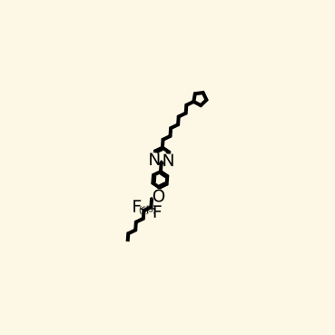 CCCCC[C@H](F)[C@@H](F)COc1ccc(-c2ncc(CCCCCCCC3CCCC3)cn2)cc1